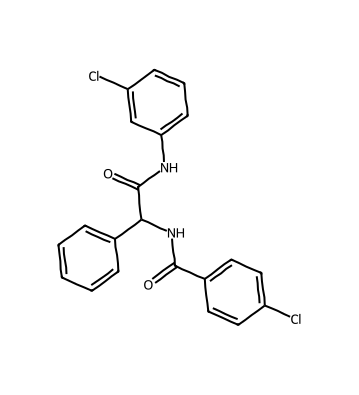 O=C(NC(C(=O)Nc1cccc(Cl)c1)c1ccccc1)c1ccc(Cl)cc1